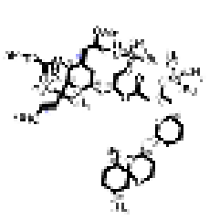 CCCCCCCC(=O)O[C@H]1/C(=C/C(=O)OC)C[C@@H](C[C@H](CO[Si](C)(C)C(C)(C)C)OC(=O)C[C@@H](C[C@@H]2CCC[C@H](C[C@@H]3CCOC4(C[C@H](C)CC[C@H]4C(C)C)O3)O2)O[Si](C)(C)C(C)(C)C)O[C@@]1(O)C(C)(C)/C=C/C=O